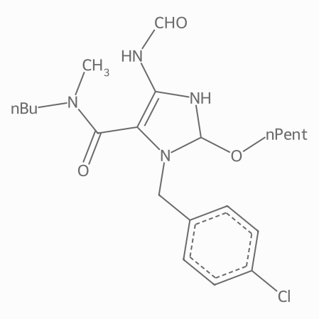 CCCCCOC1NC(NC=O)=C(C(=O)N(C)CCCC)N1Cc1ccc(Cl)cc1